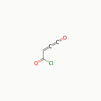 O=C=C=CC(=O)Cl